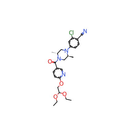 CCOC(COc1ccc(C(=O)N2C[C@H](C)N(c3ccc(C#N)c(Cl)c3)C[C@H]2C)cn1)OCC